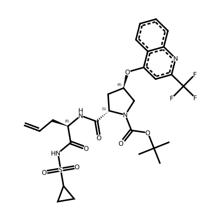 C=CC[C@@H](NC(=O)[C@@H]1C[C@@H](Oc2cc(C(F)(F)F)nc3ccccc23)CN1C(=O)OC(C)(C)C)C(=O)NS(=O)(=O)C1CC1